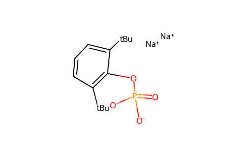 CC(C)(C)c1cccc(C(C)(C)C)c1OP(=O)([O-])[O-].[Na+].[Na+]